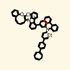 CC/C=C(\C=C/CN(c1cccc(-c2cccc3c2c2ccccc2n3-c2ccccc3ccccc3oc2C)c1)c1ccccc1-c1ccccc1)c1ccc(C2=CCC=CC=C2)cc1